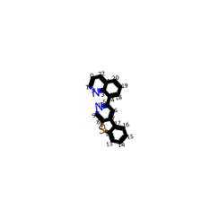 c1cnc2c(-c3cc4c(cn3)sc3ccccc34)cccc2c1